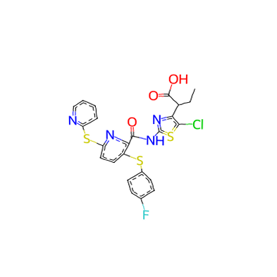 CCC(C(=O)O)c1nc(NC(=O)c2nc(Sc3ccccn3)ccc2Sc2ccc(F)cc2)sc1Cl